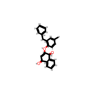 Cc1ccc(OC2=CC(=O)c3ccccc3C2=O)c(Cc2ccccc2)c1